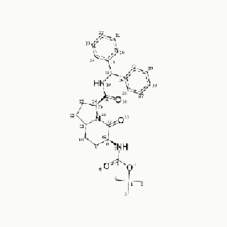 CC(C)(C)OC(=O)N[C@H]1CCC2CC[C@@H](C(=O)NC(c3ccccc3)c3ccccc3)N2C1=O